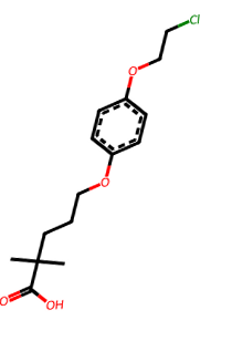 CC(C)(CCCOc1ccc(OCCCl)cc1)C(=O)O